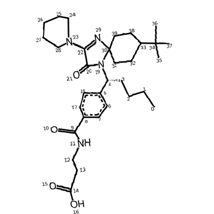 CCCC[C@H](c1ccc(C(=O)NCCC(=O)O)cc1)N1C(=O)C(N2CCCCC2)=NC12CCC(C(C)(C)C)CC2